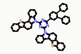 c1ccc(-c2ccc(-c3nc(-n4c5ccccc5c5c6sc7ccccc7c6ccc54)nc(-n4c5ccccc5c5c6sc7ccccc7c6ccc54)n3)cc2-c2ccccc2)cc1